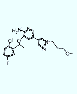 COCCCn1cc(-c2cnc(N)c(OC(C)c3cc(F)ccc3Cl)c2)cn1